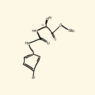 CCC[C@H](NC(=O)Nc1ccc(Br)cc1)C(=O)OC(C)(C)C